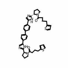 O=C(C[CH]Cc1cccs1)N1CCCC1c1ncc(-c2ccc(-c3ccc(-c4cnc([C@@H]5CCCN5C(=O)C[CH]Cc5cccs5)[nH]4)cc3)cc2)[nH]1